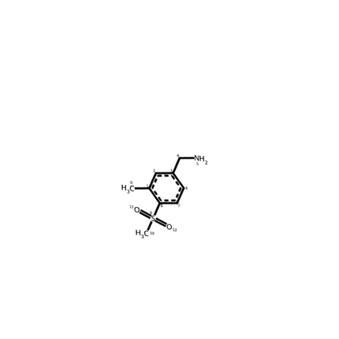 Cc1cc(CN)ccc1S(C)(=O)=O